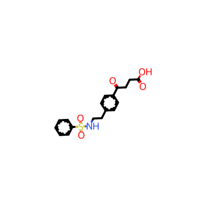 O=C(O)CCC(=O)c1ccc(CCNS(=O)(=O)c2ccccc2)cc1